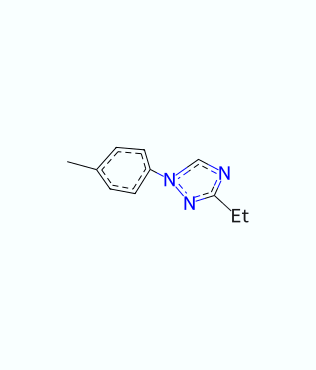 CCc1ncn(-c2ccc(C)cc2)n1